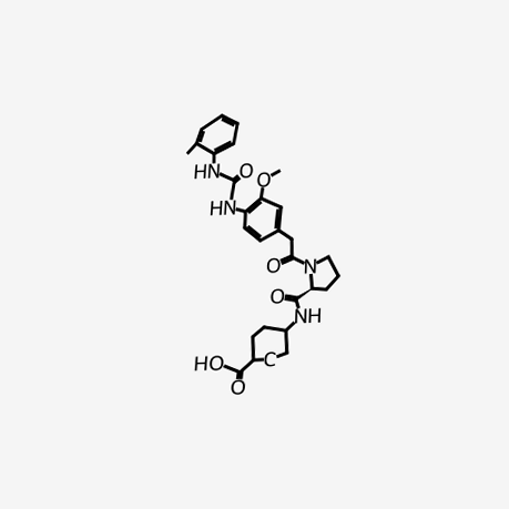 COc1cc(CC(=O)N2CCC[C@H]2C(=O)NC2CCC(C(=O)O)CC2)ccc1NC(=O)Nc1ccccc1C